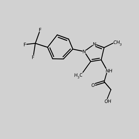 Cc1nn(-c2ccc(C(F)(F)F)cc2)c(C)c1NC(=O)CO